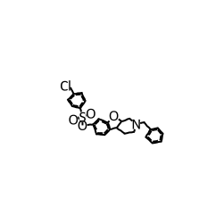 O=S(=O)(Oc1ccc2c(c1)OC1CN(Cc3ccccc3)CCC21)c1ccc(Cl)cc1